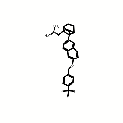 CN(C)CC1=C(c2ccc3cc(OCc4ccc(C(F)(F)F)cc4)ccc3c2)C2CCC1CC2